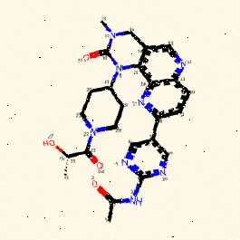 CC(=O)Nc1ncc(-c2ccc3ncc4c(c3n2)N(C2CCN(C(=O)[C@H](C)O)CC2)C(=O)N(C)C4)cn1